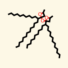 CCCCCCCCCCCCC(CCCCCCCCCC)C1(OC2(C(CCCCCCCCCC)CCCCCCCCCCCC)CC(C)O2)CC(C)O1